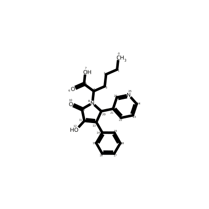 CCCCC(C(=O)O)N1C(=O)C(O)=C(c2ccccc2)C1c1cccnc1